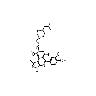 COc1c(OCCN2CCN(CC(C)C)CC2)cc(F)c2c(-c3ccc(O)c(Cl)c3)nc3[nH]nc(C)c3c12